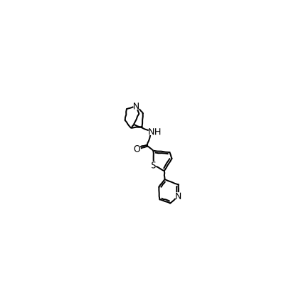 O=C(NC1CN2CCC1CC2)c1ccc(-c2cccnc2)s1